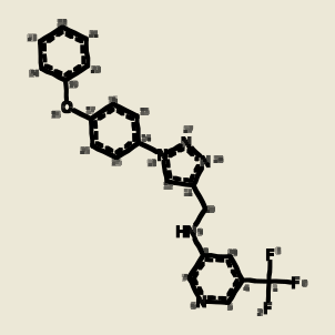 FC(F)(F)c1cncc(NCc2cn(-c3ccc(Oc4ccccc4)cc3)nn2)c1